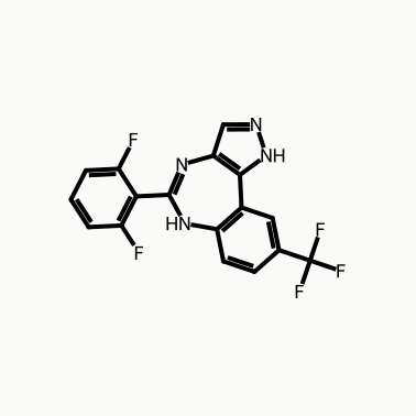 Fc1cccc(F)c1C1=Nc2cn[nH]c2-c2cc(C(F)(F)F)ccc2N1